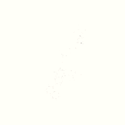 CCc1cccc2cc(O)cc(-c3ncc4c(N5CC6CCC(C5)N6)nc(OCCN5CCC(COc6cc(C(C)C(C)C)on6)CC5)nc4c3F)c12